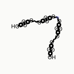 O=S(=O)(c1ccc(OC=CCCOc2ccc(S(=O)(=O)c3ccc(O)cc3)cc2)cc1)c1ccc(OC/C=C\COc2ccc(S(=O)(=O)c3ccc(OC=CCCOc4ccc(S(=O)(=O)c5ccc(O)cc5)cc4)cc3)cc2)cc1